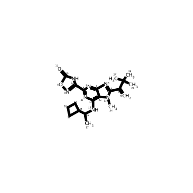 C=C(c1nc2nc(-c3noc(=O)[nH]3)nc(NC(C)C3CCC3)c2n1C)C(C)(C)C